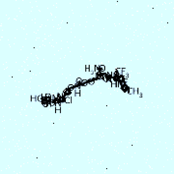 CN1CC[C@@H](Nc2cccc3c2cc(-c2noc(Cc4nn(CCOCCOCC(=O)NCCOc5ccc(-c6nc7nc(O[C@@H]8CO[C@H]9[C@@H]8OC[C@H]9O)[nH]c7cc6Cl)cc5)cc4C(N)=O)n2)n3CC(F)(F)F)[C@@H](F)C1